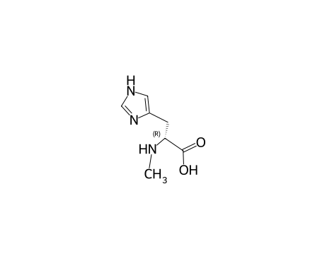 CN[C@H](Cc1c[nH]cn1)C(=O)O